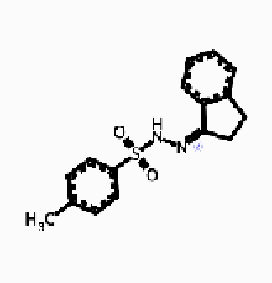 Cc1ccc(S(=O)(=O)N/N=C2/CCc3ccccc32)cc1